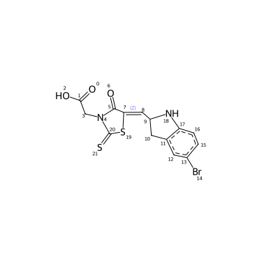 O=C(O)CN1C(=O)/C(=C/C2Cc3cc(Br)ccc3N2)SC1=S